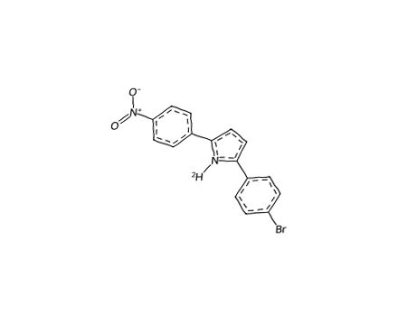 [2H]n1c(-c2ccc(Br)cc2)ccc1-c1ccc([N+](=O)[O-])cc1